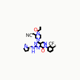 C=CC(=O)N1CCN(c2nc(NC[C@@H]3CCCN3C)nc3c(=O)n(-c4cccc(C)c4C(F)(F)F)ncc23)CC1CC#N